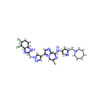 Cc1cn2c(-c3cnn(Cc4nc5c(F)c(F)ccc5[nH]4)c3)cnc2c(Nc2cc(CN3CCCCCC3)ns2)n1